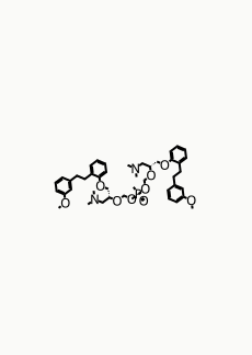 COc1cccc(CCc2ccccc2OC[C@@H](CN(C)C)OCOP(C)(=O)OCO[C@@H](COc2ccccc2CCc2cccc(OC)c2)CN(C)C)c1